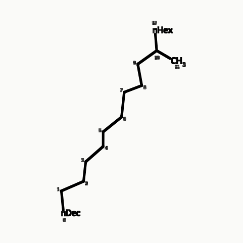 CCCCCCCCCCCCCCCCCCCC(C)CCCCCC